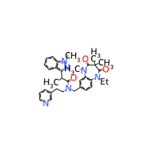 CCN1C(=O)C(C)(C)C(=O)N(C)c2cc(CN(CCc3cccnc3)C(=O)C(C)c3nn(C)c4ccccc34)ccc21